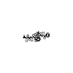 CC(C)(C)[C@H](NC(=O)CNC(=O)c1cnccn1)C(=O)N1[C@H](C(=O)NCC(=O)C(=O)NC2CC2)C[C@@H]2CCCC[C@@H]21